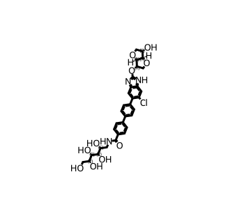 O=C(NC[C@H](O)[C@@H](O)[C@H](O)[C@H](O)CO)c1ccc(-c2ccc(-c3cc4nc(O[C@@H]5CO[C@H]6[C@@H]5OC[C@H]6O)[nH]c4cc3Cl)cc2)cc1